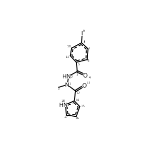 CN(NC(=O)c1ccc(I)cc1)C(=O)c1ccc[nH]1